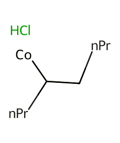 CCCC[CH]([Co])CCC.Cl